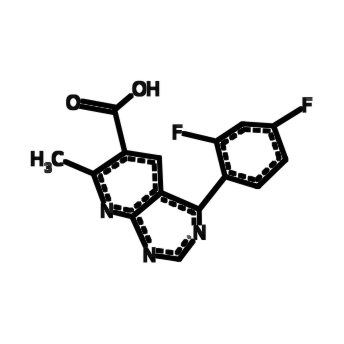 Cc1nc2ncnc(-c3ccc(F)cc3F)c2cc1C(=O)O